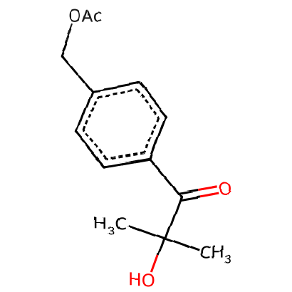 CC(=O)OCc1ccc(C(=O)C(C)(C)O)cc1